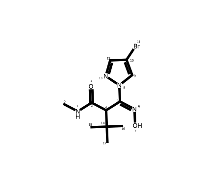 CNC(=O)C(C(=NO)n1cc(Br)cn1)C(C)(C)C